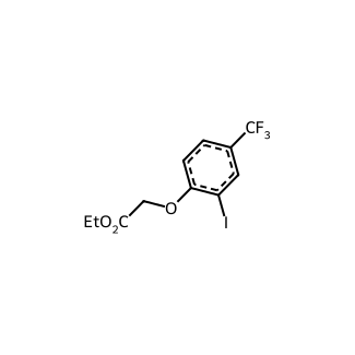 CCOC(=O)COc1ccc(C(F)(F)F)cc1I